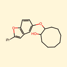 CC(C)c1cc2cc(OC3CCCCCCCC3O)ccc2o1